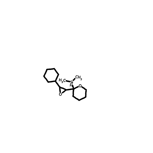 C[SiH](C)C1(C2OC2C2CCCCC2)CCCCO1